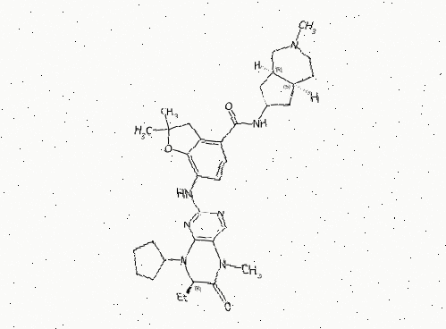 CC[C@@H]1C(=O)N(C)c2cnc(Nc3ccc(C(=O)NC4C[C@@H]5CCN(C)C[C@@H]5C4)c4c3OC(C)(C)C4)nc2N1C1CCCC1